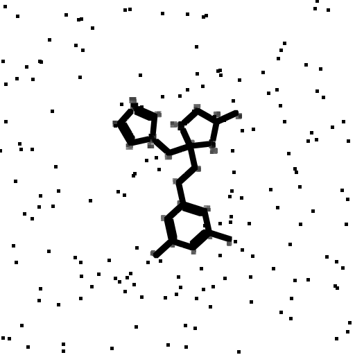 Cc1cc(C)cc(CCC2(Cn3ccnc3)SCC(C)S2)c1